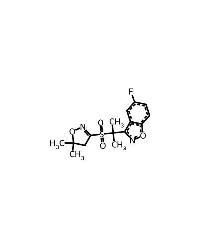 CC1(C)CC(S(=O)(=O)C(C)(C)c2noc3ccc(F)cc23)=NO1